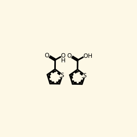 O=C(O)c1cccs1.O=C(O)c1cccs1